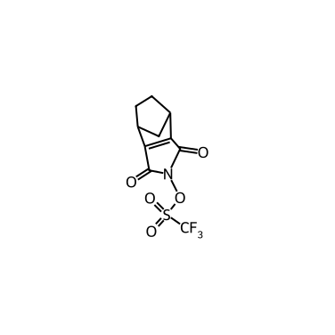 O=C1C2=C(C(=O)N1OS(=O)(=O)C(F)(F)F)C1CCC2C1